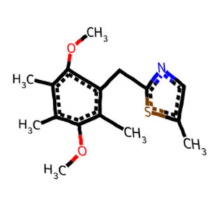 COc1c(C)c(C)c(OC)c(Cc2ncc(C)s2)c1C